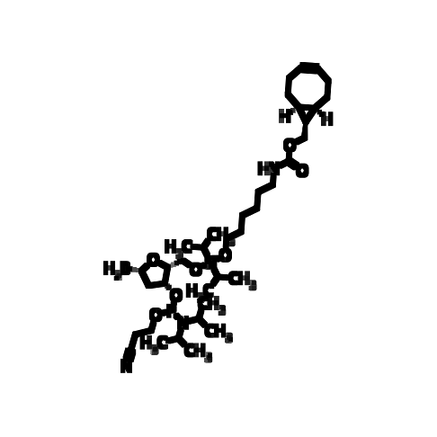 B[C@H]1C[C@@H](OP(OCCC#N)N(C(C)C)C(C)C)[C@@H](CO[Si](OCCCCCCNC(=O)OC[C@@H]2[C@@H]3CCC#CCC[C@@H]32)(C(C)C)C(C)C)O1